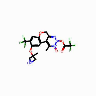 Cc1c2c(nn(OC(=O)C(F)(F)F)[n+]1=O)COc1cc(C(F)(F)F)c(OC3(C)CNC3)cc1-2